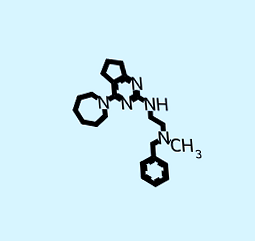 CN(CCNc1nc2c(c(N3CCCCCC3)n1)CCC2)Cc1ccccc1